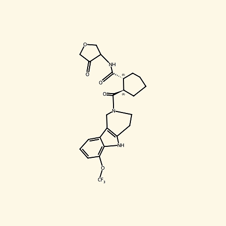 O=C1COCC1NC(=O)[C@@H]1CCCC[C@H]1C(=O)N1CCc2[nH]c3c(OC(F)(F)F)cccc3c2C1